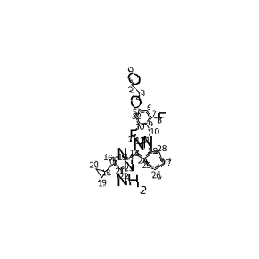 COCCOc1cc(F)c(Cn2nc(-c3ncc(C4CC4)c(N)n3)c3ccccc32)c(F)c1